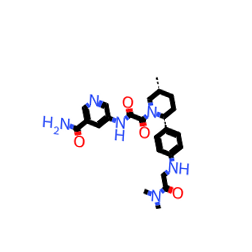 C[C@@H]1CC[C@H](c2ccc(NCC(=O)N(C)C)cc2)N(C(=O)C(=O)Nc2cncc(C(N)=O)c2)C1